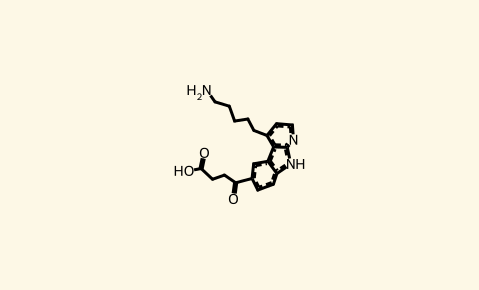 NCCCCCc1ccnc2[nH]c3ccc(C(=O)CCC(=O)O)cc3c12